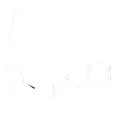 CCCCCCCCCCCCCC[C@H]1CO[C@H](COC(=O)NCc2ccccn2)C1